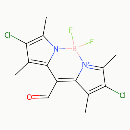 CC1=C(Cl)C(C)=[N+]2C1=C(C=O)c1c(C)c(Cl)c(C)n1[B-]2(F)F